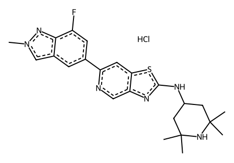 Cl.Cn1cc2cc(-c3cc4sc(NC5CC(C)(C)NC(C)(C)C5)nc4cn3)cc(F)c2n1